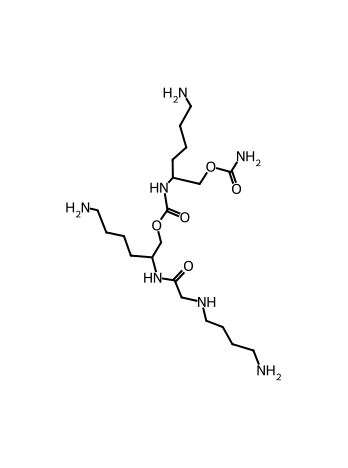 NCCCCNCC(=O)NC(CCCCN)COC(=O)NC(CCCCN)COC(N)=O